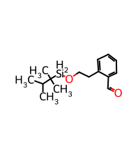 CC(C)C(C)(C)[SiH2]OCCc1ccccc1C=O